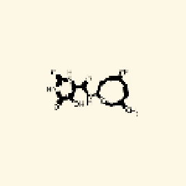 C=C1/C=C\C(C(F)(F)F)=C/C[C@H](NC(=O)c2[nH]c(=O)[nH]c(=O)c2O)CC1